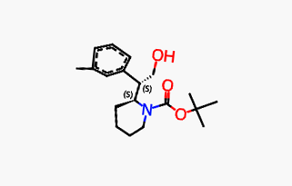 Cc1cccc([C@H](CO)[C@@H]2CCCCN2C(=O)OC(C)(C)C)c1